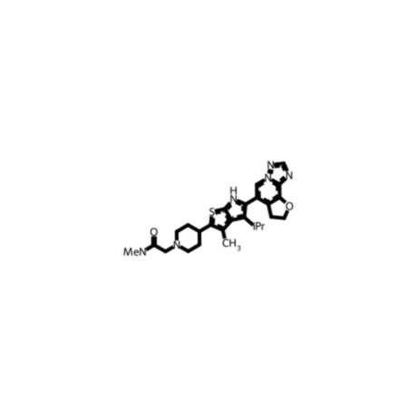 CNC(=O)CN1CCC(c2sc3[nH]c(-c4cn5ncnc5c5c4CCO5)c(C(C)C)c3c2C)CC1